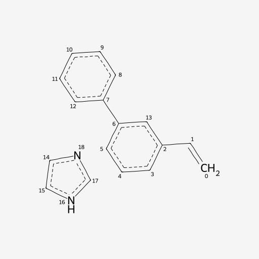 C=Cc1cccc(-c2ccccc2)c1.c1c[nH]cn1